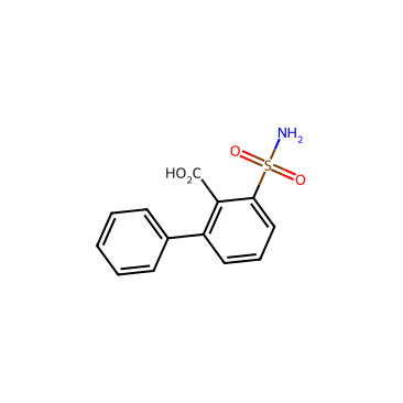 NS(=O)(=O)c1cccc(-c2ccccc2)c1C(=O)O